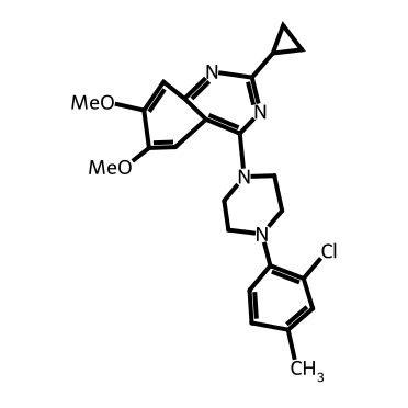 COc1cc2nc(C3CC3)nc(N3CCN(c4ccc(C)cc4Cl)CC3)c2cc1OC